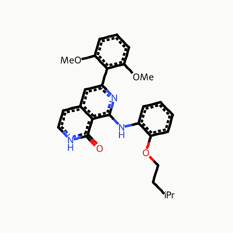 COc1cccc(OC)c1-c1cc2cc[nH]c(=O)c2c(Nc2ccccc2OCCC(C)C)n1